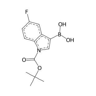 CC(C)(C)OC(=O)n1cc(B(O)O)c2cc(F)ccc21